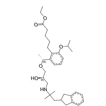 CCOC(=O)CCCCc1c(OC(C)C)cccc1[C@@H](C)OC[C@H](O)CNC(C)(C)CC1Cc2ccccc2C1